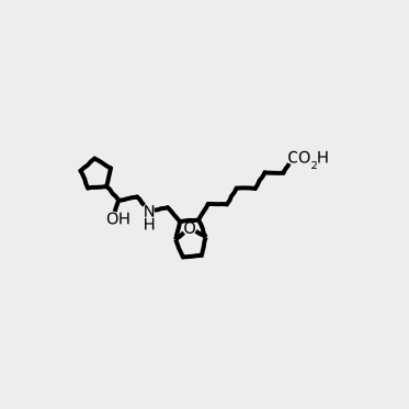 O=C(O)CCCCCCC1C2CCC(O2)C1CNCC(O)C1CCCC1